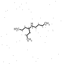 CCCCNC(CCC)CCC